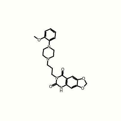 COc1ccccc1N1CCN(CCCn2c(=O)[nH]c3cc4c(cc3c2=O)OCO4)CC1